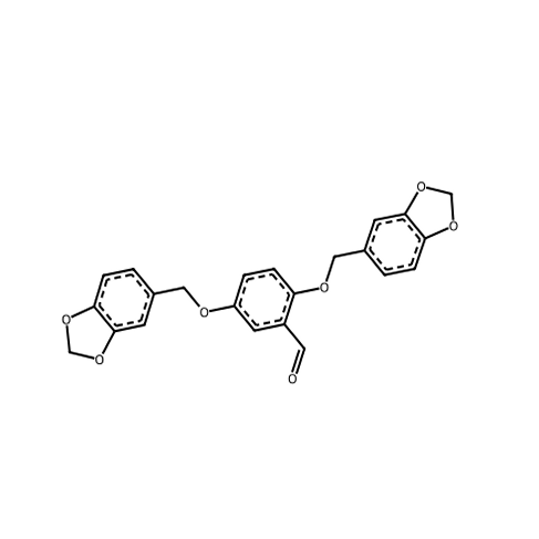 O=Cc1cc(OCc2ccc3c(c2)OCO3)ccc1OCc1ccc2c(c1)OCO2